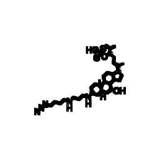 CC(C)[C@@H](CC[C@@H](C)[C@H]1CCC2C3C(CCC21)[C@@]1(C)CC[C@H](NCCCNCCCCN=[N+]=[N-])C[C@@H]1C[C@H]3O)OS(=O)(=O)O